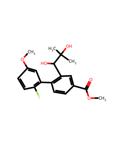 COC(=O)c1ccc(-c2cc(OC)ccc2F)c(C(O)C(C)(C)O)c1